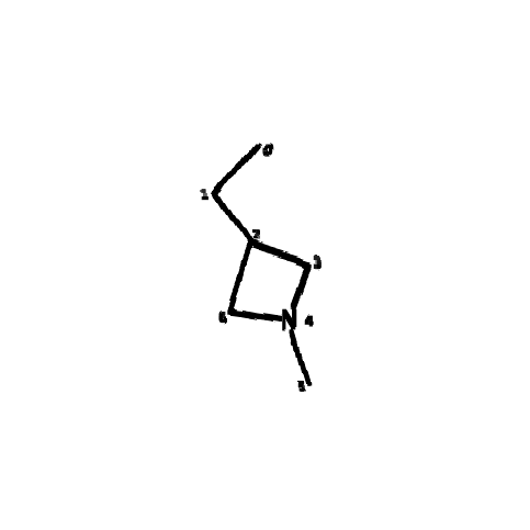 CCC1CN(C)C1